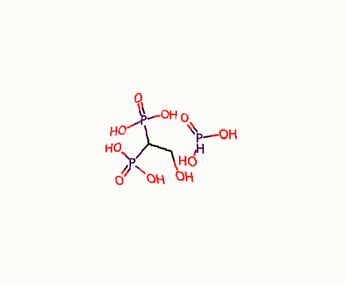 O=P(O)(O)C(CO)P(=O)(O)O.O=[PH](O)O